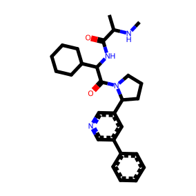 CNC(C)C(=O)NC(C(=O)N1CCCC1c1cncc(-c2ccccc2)c1)C1CCCCC1